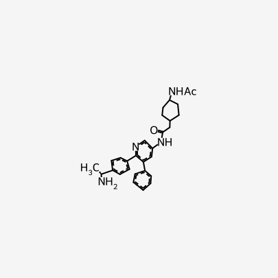 CC(=O)NC1CCC(CC(=O)Nc2cnc(-c3ccc([C@H](C)N)cc3)c(-c3ccccc3)c2)CC1